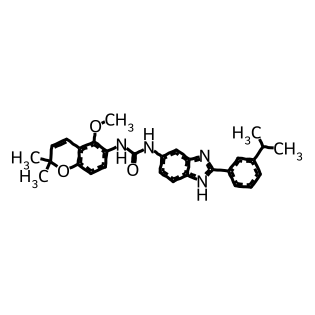 COc1c(NC(=O)Nc2ccc3[nH]c(-c4cccc(C(C)C)c4)nc3c2)ccc2c1C=CC(C)(C)O2